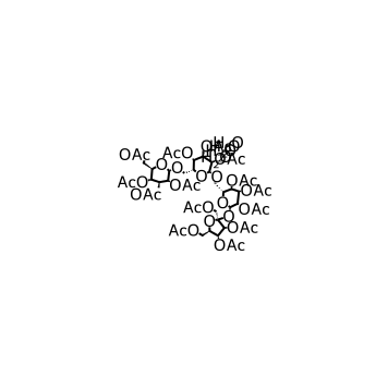 CC(=O)OC[C@H]1O[C@H](OC[C@H]2O[C@H](OC[C@H]3O[C@H](O[C@]4(COC(C)=O)O[C@H](COC(C)=O)[C@@H](OC(C)=O)[C@@H]4OC(C)=O)[C@H](OC(C)=O)[C@@H](OC(C)=O)[C@@H]3OC(C)=O)[C@H](OC(C)=O)[C@@H](OC(C)=O)[C@H]2OC(C)=O)[C@H](OC(C)=O)[C@@H](OC(C)=O)[C@H]1OC(C)=O.O.O.O.O